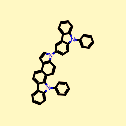 c1ccc(-n2c3ccccc3c3cc(-n4ccc5c6ccc7c8ccccc8n(-c8ccccc8)c7c6ccc54)ccc32)cc1